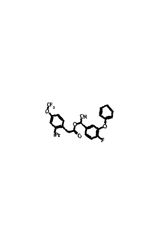 CC(C)c1cc(OC(F)(F)F)ccc1CC(=O)OC(C#N)c1ccc(F)c(Oc2ccccc2)c1